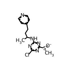 CC(CCc1ccncc1)Nc1nc(Cl)nc([S+](C)[O-])n1